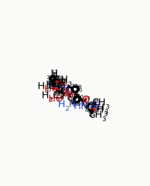 COc1c(CN2O[C@@H](CO)[C@@H]([C@H](C)O)[C@H]2C(=O)N[C@H]2C[C@H]3C[C@@H]([C@@H]2C)C3(C)C)cccc1-c1cc(N)cc(C(=O)N[C@H](CC(C)C)CN(C)C)c1